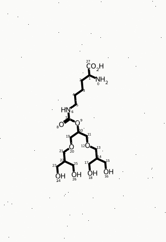 NC(CCCCNC(=O)OC(COCC(CO)CO)COCC(CO)CO)C(=O)O